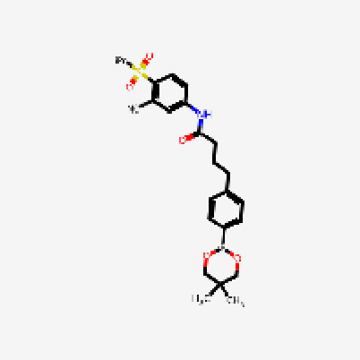 CC(C)S(=O)(=O)c1ccc(NC(=O)CCCc2ccc(B3OCC(C)(C)CO3)cc2)cc1C#N